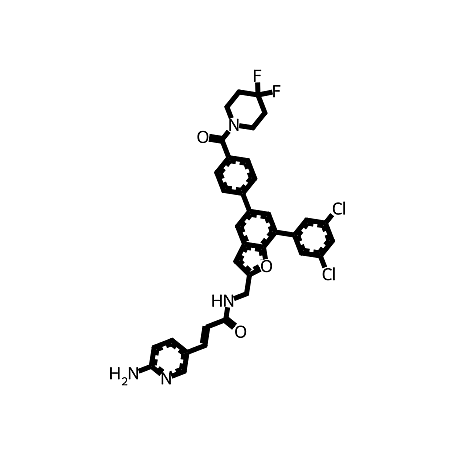 Nc1ccc(/C=C/C(=O)NCc2cc3cc(-c4ccc(C(=O)N5CCC(F)(F)CC5)cc4)cc(-c4cc(Cl)cc(Cl)c4)c3o2)cn1